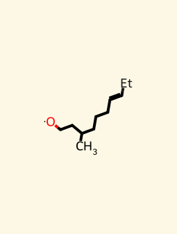 CCC=CCCCC(C)CC[O]